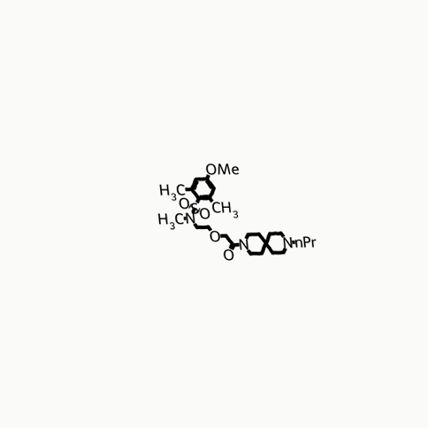 CCCN1CCC2(CC1)CCN(C(=O)COCCN(C)S(=O)(=O)c1c(C)cc(OC)cc1C)CC2